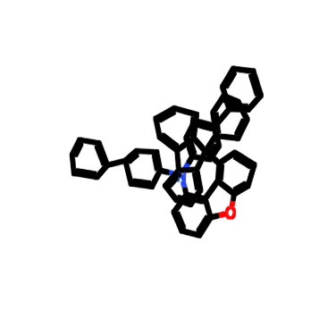 c1ccc(-c2ccc(N(c3ccc(-c4ccccc4)cc3)c3cccc4oc5cccc(C6(c7ccccc7)c7ccccc7-c7ccccc76)c5c34)cc2)cc1